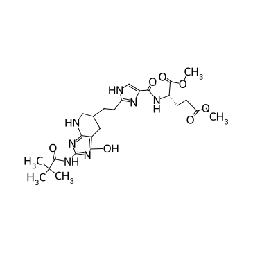 COC(=O)CC[C@H](NC(=O)c1c[nH]c(CCC2CNc3nc(NC(=O)C(C)(C)C)nc(O)c3C2)n1)C(=O)OC